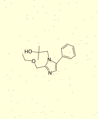 CCOCc1ncc(-c2ccccc2)n1CC(C)(C)O